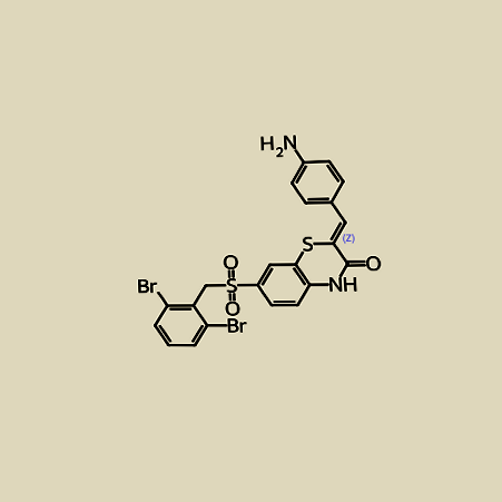 Nc1ccc(/C=C2\Sc3cc(S(=O)(=O)Cc4c(Br)cccc4Br)ccc3NC2=O)cc1